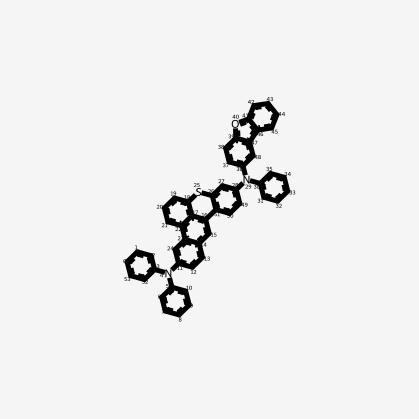 c1ccc(N(c2ccccc2)c2ccc3cc4c5c(cccc5c3c2)Sc2cc(N(c3ccccc3)c3ccc5oc6ccccc6c5c3)ccc2-4)cc1